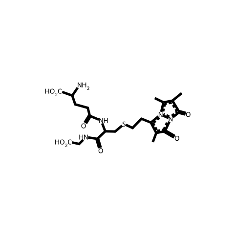 Cc1c(C)n2c(CCSCC(NC(=O)CCC(N)C(=O)O)C(=O)NCC(=O)O)c(C)c(=O)n2c1=O